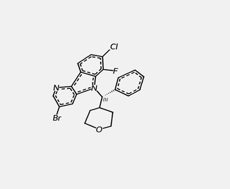 Fc1c(Cl)ccc2c3ncc(Br)cc3n([C@H](c3ccccc3)C3CCOCC3)c12